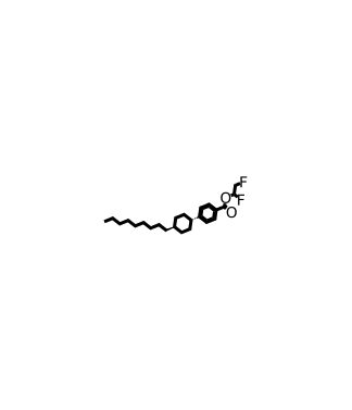 CCCCCCCCC[C@H]1CC[C@H](c2ccc(C(=O)OC(F)CF)cc2)CC1